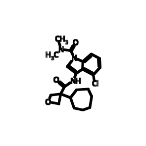 CN(C)C(=O)n1cc(NC(=O)C2(C3CCCCCC3)COC2)c2c(Cl)cccc21